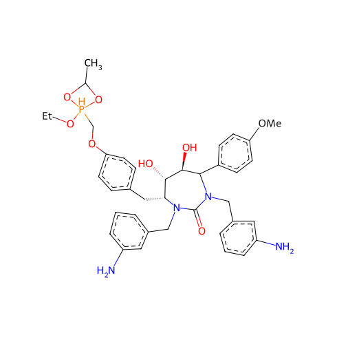 CCO[PH]1(COc2ccc(C[C@@H]3[C@H](O)[C@@H](O)C(c4ccc(OC)cc4)N(Cc4cccc(N)c4)C(=O)N3Cc3cccc(N)c3)cc2)OC(C)O1